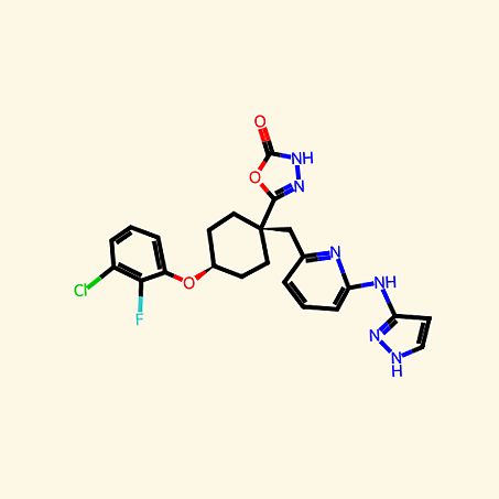 O=c1[nH]nc([C@]2(Cc3cccc(Nc4cc[nH]n4)n3)CC[C@@H](Oc3cccc(Cl)c3F)CC2)o1